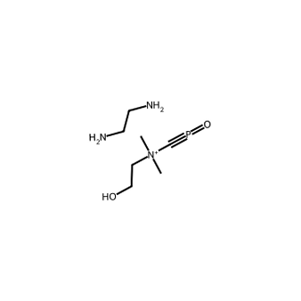 C[N+](C)(C#P=O)CCO.NCCN